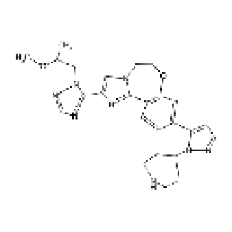 COC(C)Cn1ncnc1-c1cn2c(n1)-c1ccc(-c3ccnn3C3CCNCC3)cc1OCC2